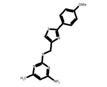 COc1ccc(-c2nc(CSc3nc(C)cc(N)n3)cs2)cc1